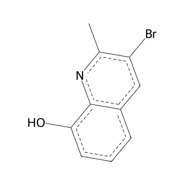 Cc1nc2c(O)cccc2cc1Br